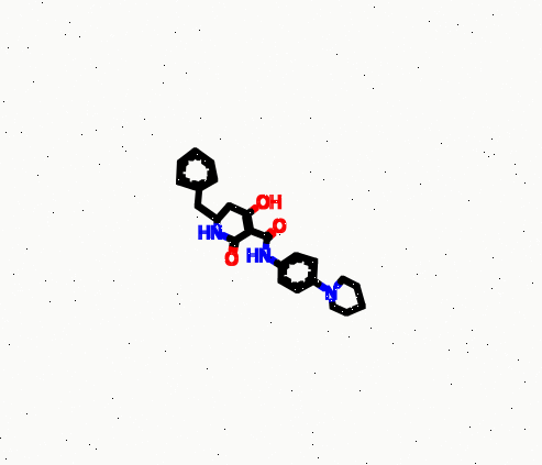 O=C(Nc1ccc(N2CCCCC2)cc1)C1=C(O)CC(Cc2ccccc2)NC1=O